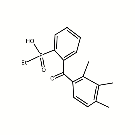 CCP(=O)(O)c1ccccc1C(=O)c1ccc(C)c(C)c1C